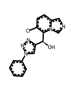 O[C@@H](c1cn(-c2ccccc2)nn1)c1c(Cl)ccc2cncn12